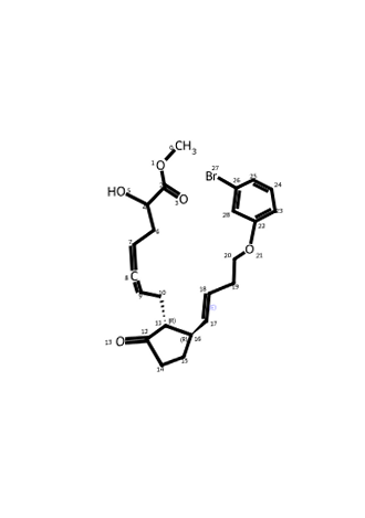 COC(=O)C(O)CC=C=CC[C@H]1C(=O)CC[C@@H]1/C=C/CCOc1cccc(Br)c1